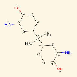 CC(C)(C1CCC(O)C(N)C1)C1CCC(O)C(N)C1